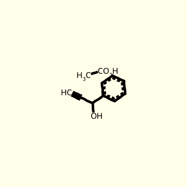 C#CC(O)c1ccccc1.CC(=O)O